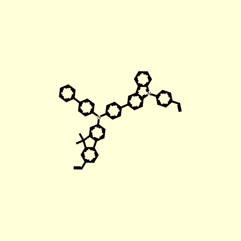 C=Cc1ccc(-n2c3ccccc3c3cc(-c4ccc(N(c5ccc(-c6ccccc6)cc5)c5ccc6c(c5)C(C)(C)c5cc(C=C)ccc5-6)cc4)ccc32)cc1